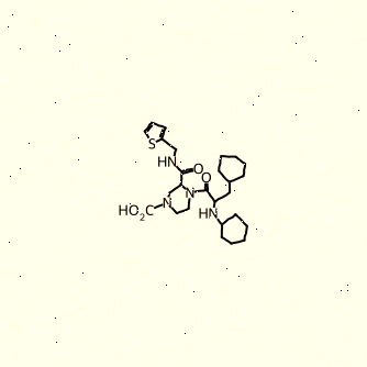 O=C(NCc1cccs1)C1CN(C(=O)O)CCN1C(=O)C(CC1CCCCC1)NC1CCCCC1